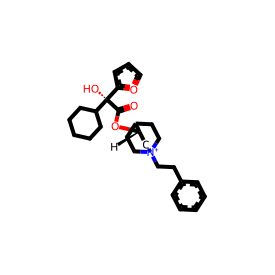 O=C(O[C@H]1C[N+]2(CCc3ccccc3)CCC1CC2)[C@](O)(c1ccco1)C1CCCCC1